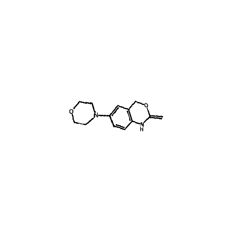 C=C1Nc2ccc(N3CCOCC3)cc2CO1